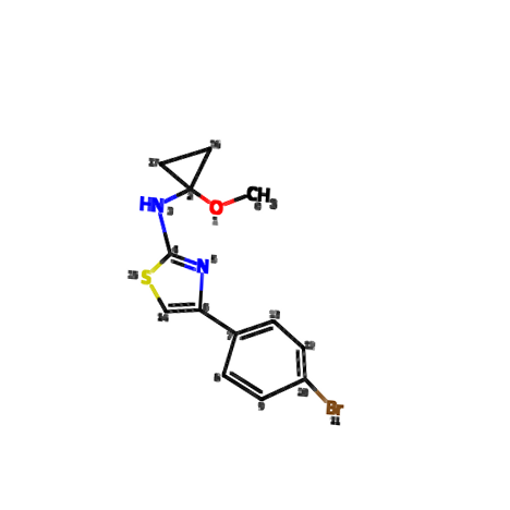 COC1(Nc2nc(-c3ccc(Br)cc3)cs2)CC1